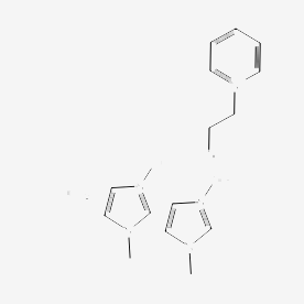 CCCC[n+]1ccn(C)c1.CC[n+]1ccn(C)c1.OCC[n+]1ccccc1.[Br-].[Br-].[Br-]